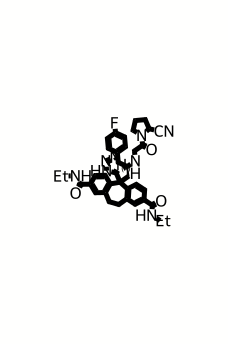 CCNC(=O)c1ccc2c(c1)CCc1cc(C(=O)NCC)ccc1C2(C[C@@H](Cc1ccc(F)cc1)NCC(=O)N1CCCC1C#N)c1nnn[nH]1